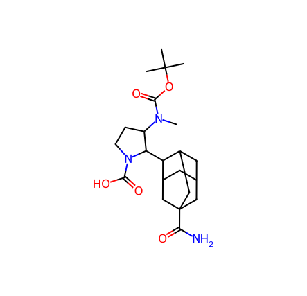 CN(C(=O)OC(C)(C)C)C1CCN(C(=O)O)C1C1C2CC3CC1CC(C(N)=O)(C3)C2